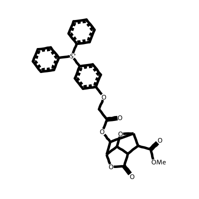 COC(=O)C1C2OC3C(OC(=O)C31)C2OC(=O)COc1ccc([S+](c2ccccc2)c2ccccc2)cc1